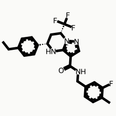 CCc1ccc([C@@H]2C[C@H](C(F)(F)F)n3ncc(C(=O)NCc4ccc(C)c(F)c4)c3N2)cc1